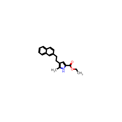 CCOC(=O)c1cc(CCc2ccc3ccccc3c2)c(C)[nH]1